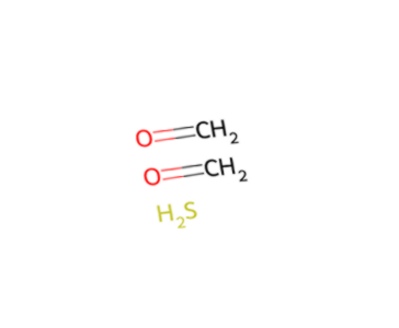 C=O.C=O.S